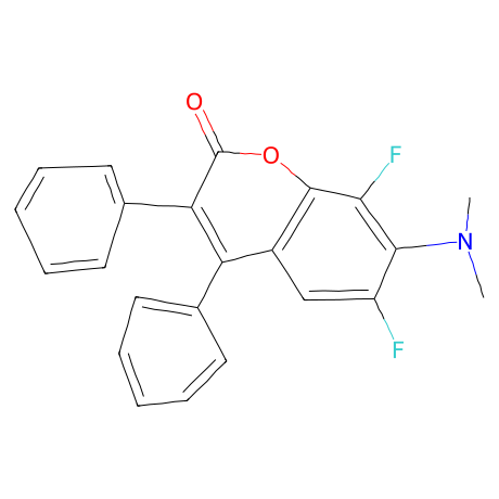 CN(C)c1c(F)cc2c(-c3ccccc3)c(-c3ccccc3)c(=O)oc2c1F